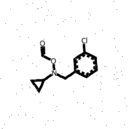 O=CON(Cc1cccc(Cl)c1)C1CC1